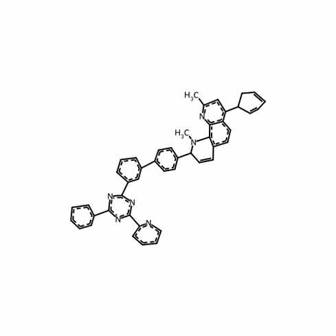 Cc1cc(C2C=CC=CC2)c2ccc3c(c2n1)N(C)C(c1ccc(-c2cccc(-c4nc(-c5ccccc5)nc(-c5ccccn5)n4)c2)cc1)C=C3